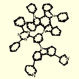 c1ccc(-c2nc(-c3ccccc3)nc(-c3cc(-n4c5ccc(-c6cccnc6)cc5c5cc(-c6cccnc6)ccc54)cc(-n4c5ccccc5c5c6c(c7ccccc7n6-c6ccccc6)c6c(c7ccccc7n6-c6ccccc6)c54)c3)n2)cc1